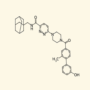 Cc1cc(C(=O)N2CCN(c3ccc(C(=O)NCC45CC6CC(CC(C6)C4)C5)nn3)CC2)ccc1-c1cccc(O)c1